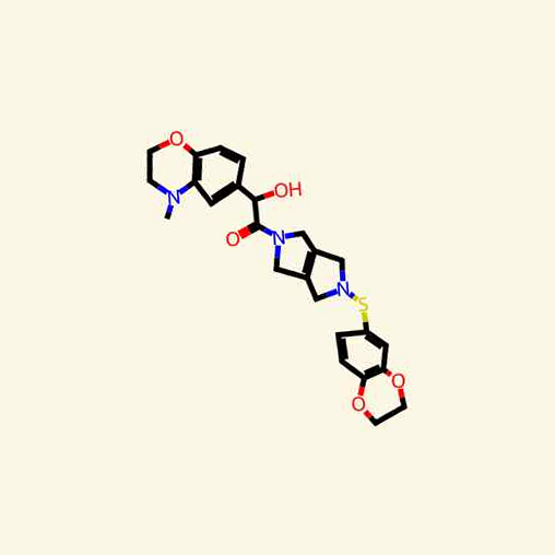 CN1CCOc2ccc(C(O)C(=O)N3CC4=C(CN(Sc5ccc6c(c5)OCCO6)C4)C3)cc21